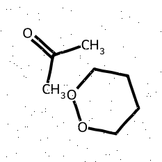 C1CCOOC1.CC(C)=O